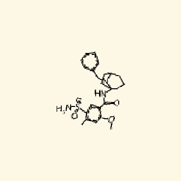 COc1cc(C)c(S(N)(=O)=O)cc1C(=O)NC12CCCC(CC1)N2Cc1ccccc1